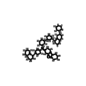 c1ccc(-c2ccc3cccc(-c4cccc(-c5cccc(N(c6ccc(-c7cccc8ccccc78)cc6)c6ccc7c(c6)oc6ccccc67)c5)c4)c3c2)cc1